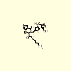 C=CCCCOC(=O)C(CC)N(Cc1ccco1)C(=O)n1ccnc1.Cc1cc(O)no1